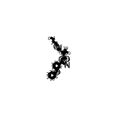 CCCCON=C[C@H]1[C@@H](C(=O)OC(C#N)c2cccc(Oc3ccccc3)c2)C1(C)C